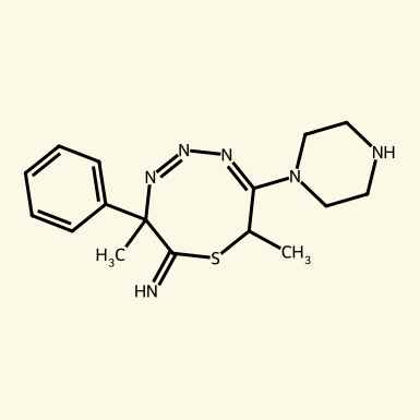 CC1SC(=N)C(C)(c2ccccc2)/N=N\N=C/1N1CCNCC1